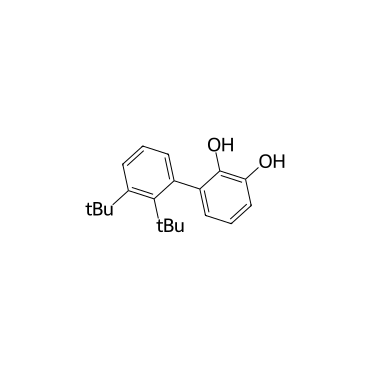 CC(C)(C)c1cccc(-c2cccc(O)c2O)c1C(C)(C)C